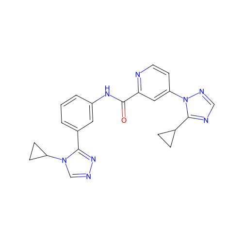 O=C(Nc1cccc(-c2nncn2C2CC2)c1)c1cc(-n2ncnc2C2CC2)ccn1